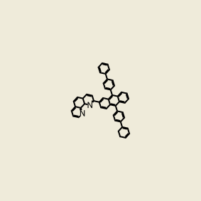 C1=CCCC(c2ccc(-c3c4ccccc4c(-c4ccc(-c5ccccc5)cc4)c4cc(C5=NC6c7ncccc7C=CC6C=C5)ccc34)cc2)=C1